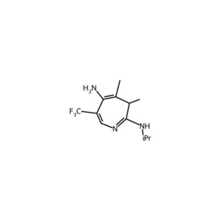 CC1=C(N)C(C(F)(F)F)=CN=C(NC(C)C)C1C